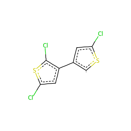 Clc1cc(-c2cc(Cl)sc2Cl)[c]s1